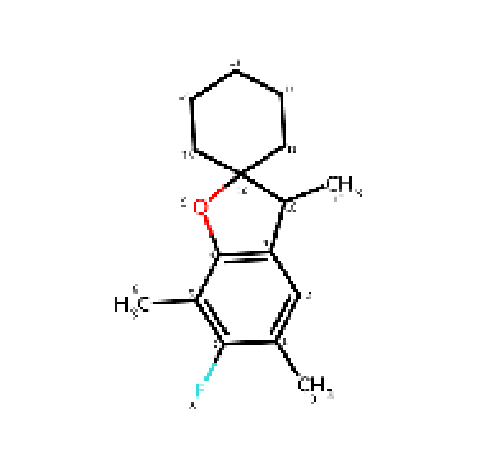 Cc1cc2c(c(C)c1F)OC1(CCCCC1)C2C